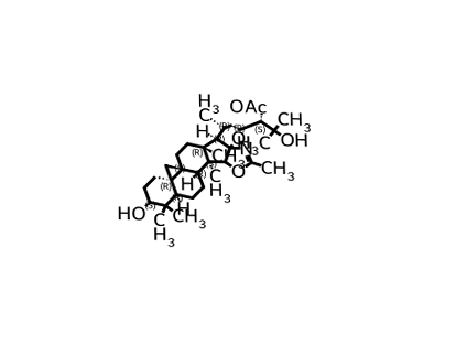 CC(=O)O[C@@H]([C@H]1C[C@@H](C)[C@H]2C3(N=C(C)OC3[C@@]3(C)[C@@H]4CC[C@H]5C(C)(C)[C@@H](O)CC[C@@]56C[C@@]46CC[C@]23C)O1)C(C)(C)O